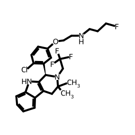 CC1(C)Cc2c([nH]c3ccccc23)[C@@H](c2cc(OCCNCCCF)ccc2Cl)N1CC(F)(F)F